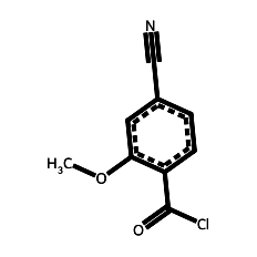 COc1cc(C#N)ccc1C(=O)Cl